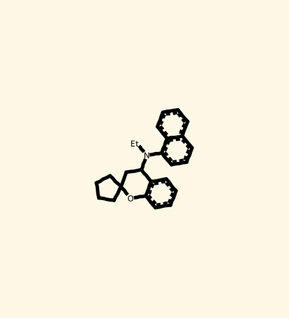 CCN(c1cccc2ccccc12)C1CC2(CCCC2)Oc2ccccc21